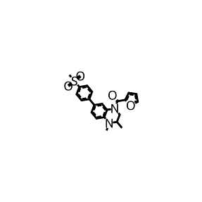 CC1CN(C(=O)c2ccco2)c2cc(-c3ccc(S(C)(=O)=O)cc3)ccc2N1C